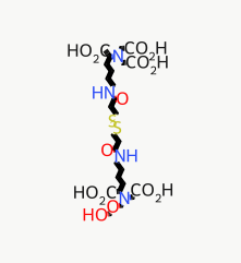 O=C(O)CN(COCO)C(CCCCNC(=O)CCSSCCC(=O)NCCCCC(C(=O)O)N(CC(=O)O)CC(=O)O)C(=O)O